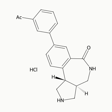 CC(=O)c1cccc(-c2ccc3c(c2)C(=O)NC[C@H]2CNC[C@H]32)c1.Cl